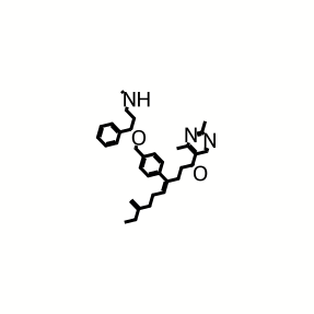 C=C(CC)CC/C=C(/CCC(=O)c1cnc(C)nc1C)c1ccc(COC(CCNC)c2ccccc2)cc1